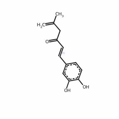 C=C(C)CC(=O)/C=C/c1ccc(O)c(O)c1